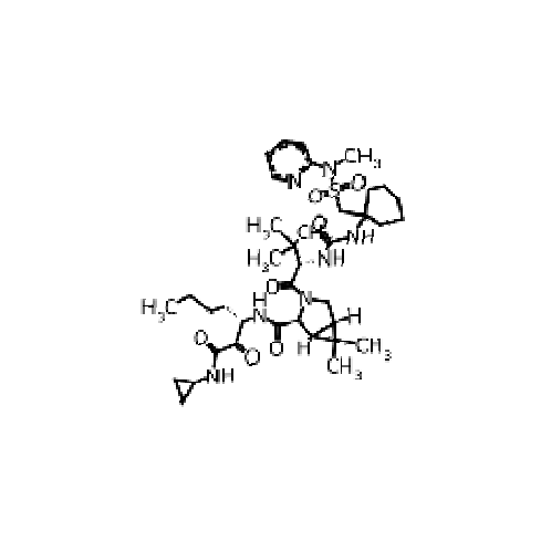 CCCC[C@H](NC(=O)[C@@H]1[C@@H]2[C@H](CN1C(=O)[C@@H](NC(=O)NC1(CS(=O)(=O)N(C)c3ccccn3)CCCCC1)C(C)(C)C)C2(C)C)C(=O)C(=O)NC1CC1